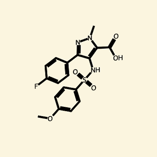 COc1ccc(S(=O)(=O)Nc2c(-c3ccc(F)cc3)nn(C)c2C(=O)O)cc1